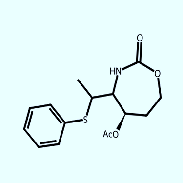 CC(=O)O[C@@H]1CCOC(=O)NC1C(C)Sc1ccccc1